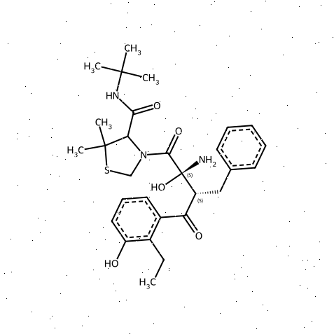 CCc1c(O)cccc1C(=O)[C@@H](Cc1ccccc1)[C@](N)(O)C(=O)N1CSC(C)(C)C1C(=O)NC(C)(C)C